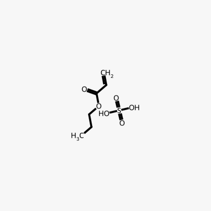 C=CC(=O)OCCC.O=S(=O)(O)O